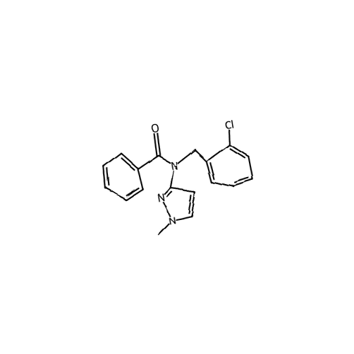 Cn1ccc(N(Cc2ccccc2Cl)C(=O)c2ccccc2)n1